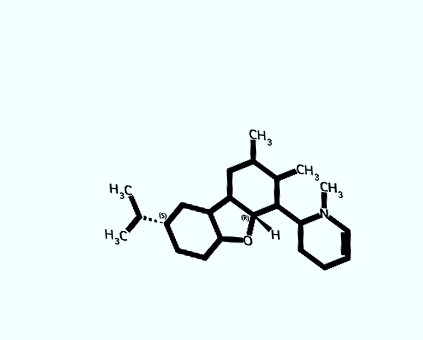 CC1CC2C3C[C@@H](C(C)C)CCC3O[C@H]2C(C2CCC=CN2C)C1C